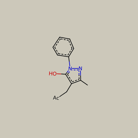 CC(=O)Cc1c(C)nn(-c2ccccc2)c1O